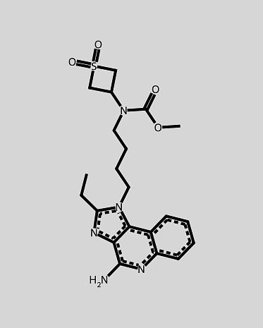 CCc1nc2c(N)nc3ccccc3c2n1CCCCN(C(=O)OC)C1CS(=O)(=O)C1